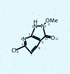 COn1[nH]c2nc(Cl)ccc2c1=O